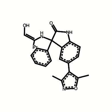 Cc1noc(C)c1-c1ccc2c(c1)C(N/C(=C\O)C(C)C)(c1ccccc1)C(=O)N2